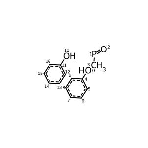 CP=O.Oc1ccccc1.Oc1ccccc1